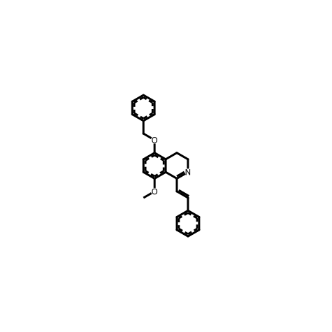 COc1ccc(OCc2ccccc2)c2c1C(C=Cc1ccccc1)=NCC2